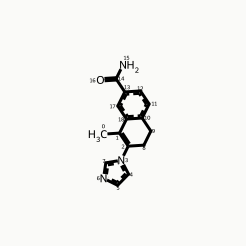 CC1=C(n2ccnc2)CCc2ccc(C(N)=O)cc21